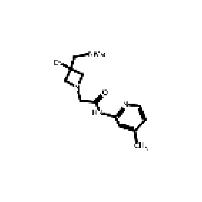 CCC1(CNC)CN(CC(=O)Nc2cc(C)ccn2)C1